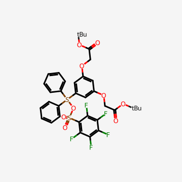 CC(C)(C)OC(=O)COc1cc(OCC(=O)OC(C)(C)C)cc(S(OS(=O)(=O)c2c(F)c(F)c(F)c(F)c2F)(c2ccccc2)c2ccccc2)c1